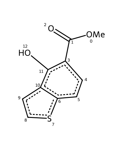 COC(=O)c1ccc2sccc2c1O